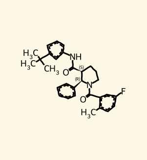 Cc1ccc(F)cc1C(=O)N1CCC[C@H](C(=O)Nc2cccc(C(C)(C)C)c2)[C@@H]1c1ccccc1